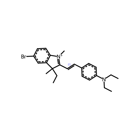 CCN(CC)c1ccc(/C=C/C2=[N+](C)c3ccc(Br)cc3C2(C)CC)cc1